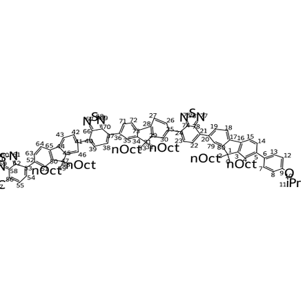 CCCCCCCCC1(CCCCCCCC)c2cc(-c3ccc(OC(C)C)cc3)ccc2-c2ccc(-c3ccc(-c4ccc5c(c4)C(CCCCCCCC)(CCCCCCCC)c4cc(-c6ccc(-c7ccc8c(c7)C(CCCCCCCC)(CCCCCCCC)c7cc(-c9ccc(C)c%10nsnc9%10)ccc7-8)c7nsnc67)ccc4-5)c4nsnc34)cc21